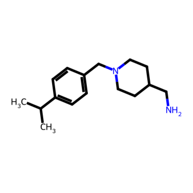 CC(C)c1ccc(CN2CCC(CN)CC2)cc1